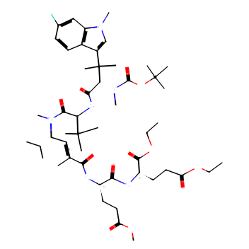 CCOC(=O)CC[C@@H](NC(=O)[C@@H](CCC(=O)OC)NC(=O)/C(C)=C/[C@H](C(C)C)N(C)C(=O)C(NC(=O)[C@@H](N(C)C(=O)OC(C)(C)C)C(C)(C)c1cn(C)c2cc(F)ccc12)C(C)(C)C)C(=O)OCC